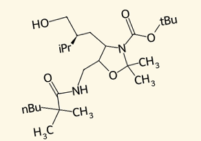 CCCCC(C)(C)C(=O)NCC1OC(C)(C)N(C(=O)OC(C)(C)C)C1C[C@H](CO)C(C)C